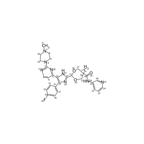 CN1CCN(c2nccc(-c3[nH]c(C4OCC(C)(C(=O)Nc5cccnc5)CO4)nc3-c3ccc(F)cc3)n2)CC1